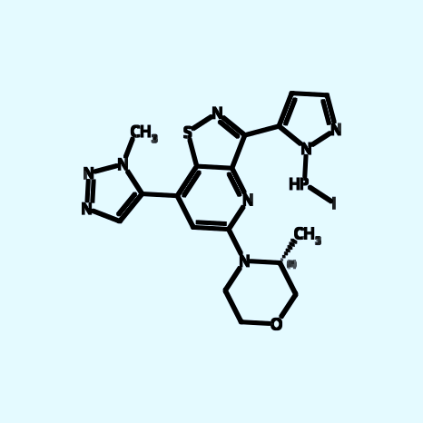 C[C@@H]1COCCN1c1cc(-c2cnnn2C)c2snc(-c3ccnn3PI)c2n1